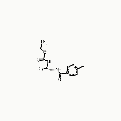 CC[C@H](C)[C@@H](CNC(=O)c1ccc(C)cc1)NC(=O)OCC(F)(F)F